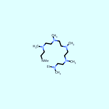 CCN(C)CCN(C)CCN(C)CCN(C)CCN(C)CCNC